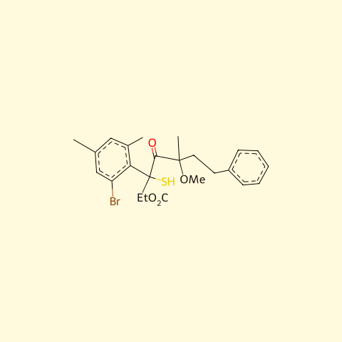 CCOC(=O)C(S)(C(=O)C(C)(CCc1ccccc1)OC)c1c(C)cc(C)cc1Br